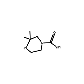 CCCC(=O)N1CCNC(C)(C)C1